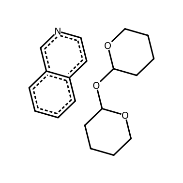 C1CCC(OC2CCCCO2)OC1.c1ccc2cnccc2c1